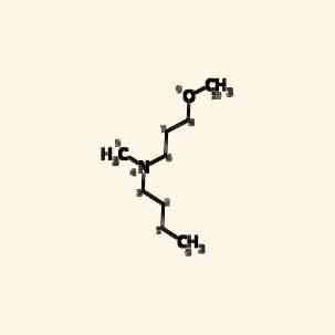 CCCCN(C)CCCOC